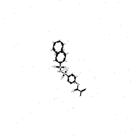 C=C(C)C(=O)Oc1ccc(S(=O)(=O)NS(=O)(=O)c2ccc3ccccc3c2)cc1